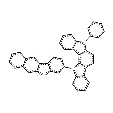 c1ccc(-n2c3ccccc3c3c2ccc2c4ccccc4n(-c4ccc5c(c4)oc4cc6ccccc6cc45)c23)cc1